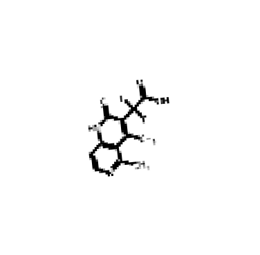 Cc1nccc2[nH]c(=O)c(C(F)(F)C(=O)O)c(C)c12